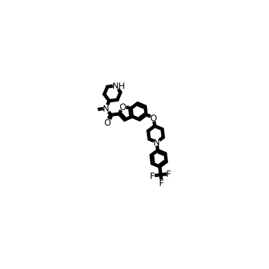 CN(C(=O)c1cc2cc(OC3CCN(c4ccc(C(F)(F)F)cc4)CC3)ccc2o1)C1CCNCC1